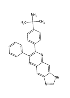 CC(C)(N)c1ccc(-c2nc3cc4[nH]cnc4cc3nc2-c2ccccc2)cc1